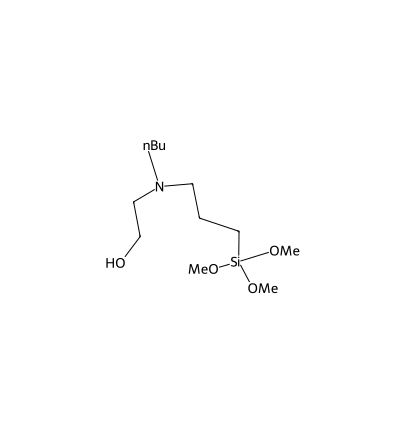 CCCCN(CCO)CCC[Si](OC)(OC)OC